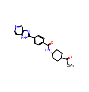 COC(=O)[C@H]1CC[C@H](NC(=O)c2ccc(-c3nc4cnccc4[nH]3)cc2)CC1